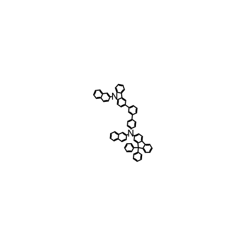 c1ccc(C2(c3ccccc3)c3ccccc3-c3ccc(N(c4ccc(-c5cccc(-c6ccc7c(c6)c6ccccc6n7-c6ccc7ccccc7c6)c5)cc4)c4ccc5ccccc5c4)cc32)cc1